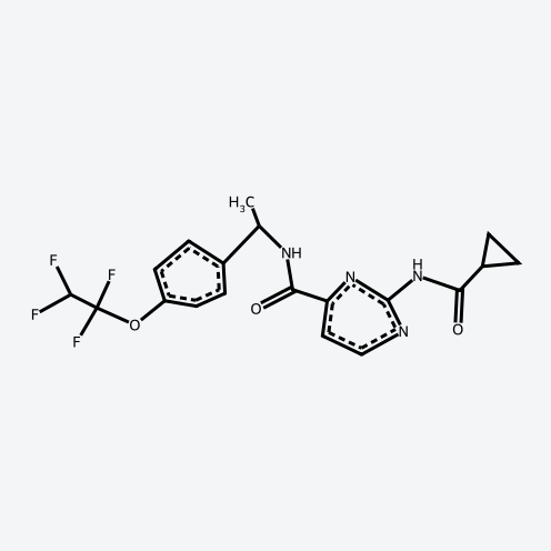 CC(NC(=O)c1ccnc(NC(=O)C2CC2)n1)c1ccc(OC(F)(F)C(F)F)cc1